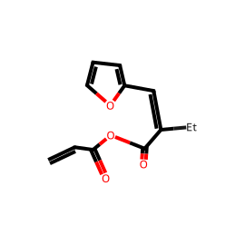 C=CC(=O)OC(=O)C(=Cc1ccco1)CC